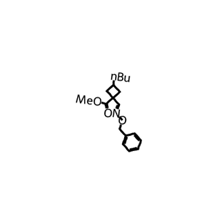 CCCCC1CC(C=NOCc2ccccc2)(C(=O)OC)C1